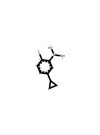 OB(O)c1cc(C2CC2)ccc1F